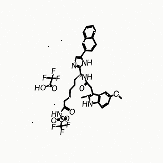 COc1ccc2[nH]c(C)c(CC(=O)N[C@@H](CCCCCC(=O)NS(=O)(=O)C(F)(F)F)c3ncc(-c4ccc5ccccc5c4)[nH]3)c2c1.O=C(O)C(F)(F)F